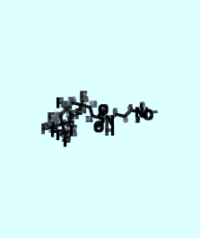 C[N+](C)([O-])CCCNS(=O)(=O)CCC(F)(F)CC(F)(F)CC(F)(C(F)(F)F)C(F)(F)F